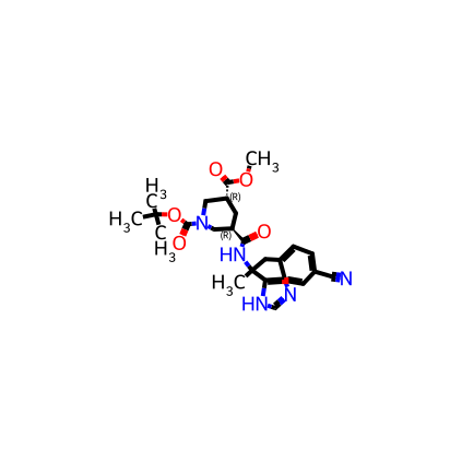 COC(=O)[C@@H]1C[C@@H](C(=O)NC(C)(Cc2ccc(C#N)cc2)c2cnc[nH]2)CN(C(=O)OC(C)(C)C)C1